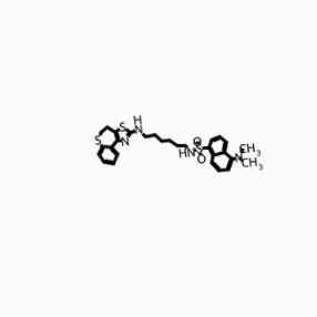 CN(C)c1cccc2c(S(=O)(=O)NCCCCCCNc3nc4c(s3)CCSc3ccccc3-4)cccc12